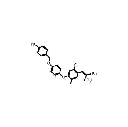 CCCCC(=Cc1cc(C)c(Oc2ccc(OCc3ccc(C#N)cc3)cn2)cc1Cl)C(=O)O